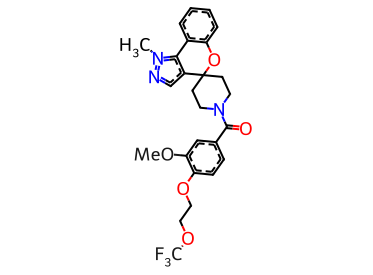 COc1cc(C(=O)N2CCC3(CC2)Oc2ccccc2-c2c3cnn2C)ccc1OCCOC(F)(F)F